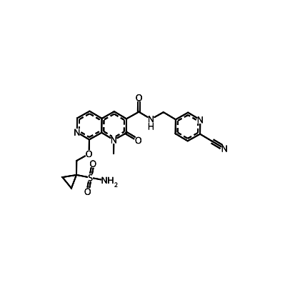 Cn1c(=O)c(C(=O)NCc2ccc(C#N)nc2)cc2ccnc(OCC3(S(N)(=O)=O)CC3)c21